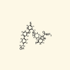 NC(=O)C1=C[N+]2([C@H]3CC[C@H](NCc4cc(F)cnc4Oc4cccc(-c5ccc(CCO)cc5)c4)CC3)C=C(F)C=CC2=N1